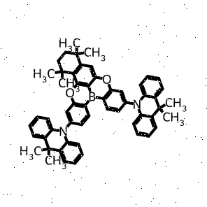 CC1(C)CCC(C)(C)c2c1cc1c3c2Oc2cc(N4c5ccccc5C(C)(C)c5ccccc54)ccc2B3c2ccc(N3c4ccccc4C(C)(C)c4ccccc43)cc2O1